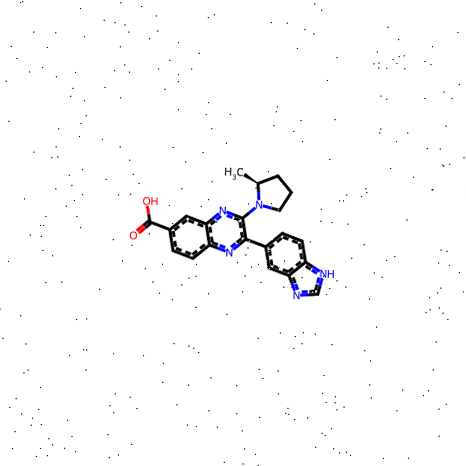 C[C@H]1CCCN1c1nc2cc(C(=O)O)ccc2nc1-c1ccc2[nH]cnc2c1